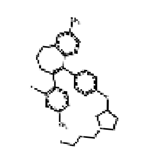 Cc1ccc(C2=C(c3ccc(OC4CCN(CCCF)C4)cc3)c3ccc(N)cc3CCC2)c(Cl)c1